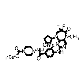 CCCCOC(=O)N1CCN(NC(=O)c2ccc(Nc3ncc4c(n3)N(C3CCCC3)CC(F)(F)C(=O)N4C)c(OC)c2)CC1